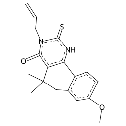 C=CCn1c(=S)[nH]c2c(c1=O)C(C)(C)Cc1cc(OC)ccc1-2